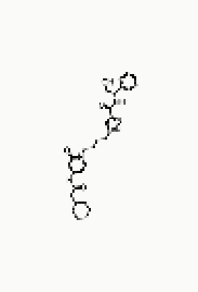 O=C(CC1CCCCC1)Nc1ccn(CCCCn2cc(C(=O)NC(CO)c3ccccc3)nn2)c(=O)c1